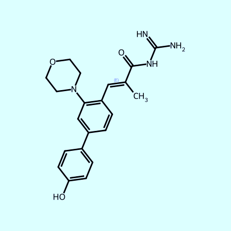 C/C(=C\c1ccc(-c2ccc(O)cc2)cc1N1CCOCC1)C(=O)NC(=N)N